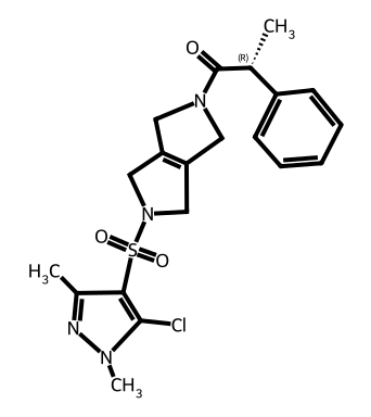 Cc1nn(C)c(Cl)c1S(=O)(=O)N1CC2=C(CN(C(=O)[C@H](C)c3ccccc3)C2)C1